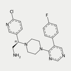 NC[C@@H](c1ccc(Cl)nc1)N1CCN(c2ncncc2-c2ccc(F)cc2)CC1